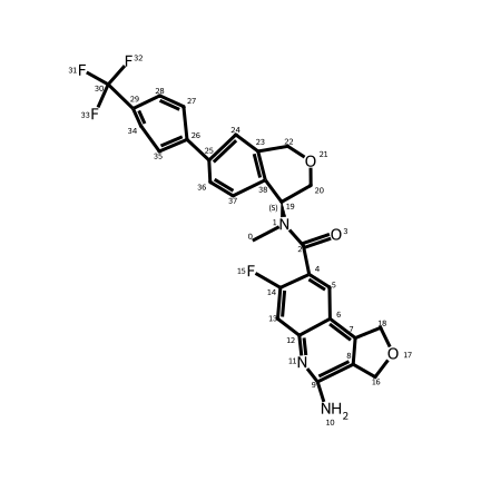 CN(C(=O)c1cc2c3c(c(N)nc2cc1F)COC3)[C@@H]1COCc2cc(-c3ccc(C(F)(F)F)cc3)ccc21